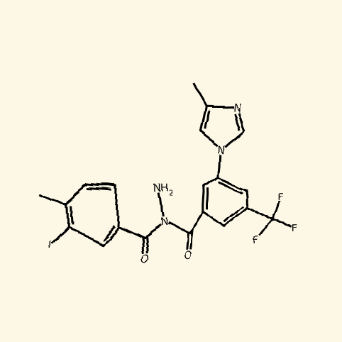 Cc1cn(-c2cc(C(=O)N(N)C(=O)c3ccc(C)c(I)c3)cc(C(F)(F)F)c2)cn1